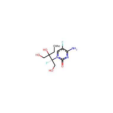 COCC(O)(CO)[C@](F)(CO)n1cc(F)c(N)nc1=O